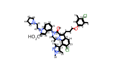 Cc1cc(OCCCc2c3n(c4c(-c5c(C)nn(C)c5C)c(Cl)ccc24)C(C)CN(c2cccc4c2cc(C(=O)O)n4CCN2CCCC2)C3=O)cc(C)c1Cl